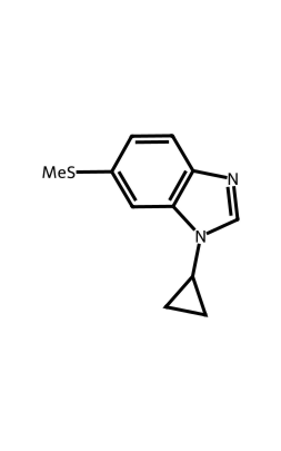 CSc1ccc2ncn(C3CC3)c2c1